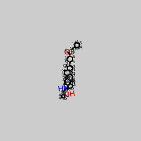 CC1(C)C(C2=CC[C@H](C(=O)OCc3ccccc3)CC2)=CC[C@@]2(C)C1CC[C@]1(C)C2CC[C@@H]2[C@H]3CCC[C@]3(NCCC3(O)CCC3)CC[C@]21C